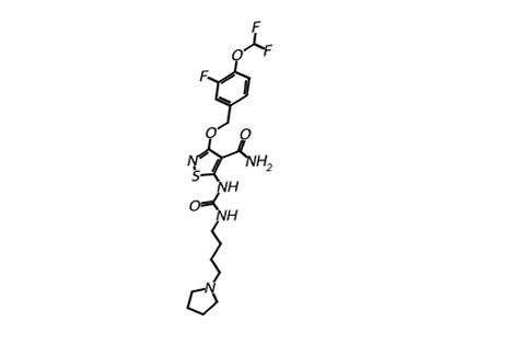 NC(=O)c1c(OCc2ccc(OC(F)F)c(F)c2)nsc1NC(=O)NCCCCN1CCCC1